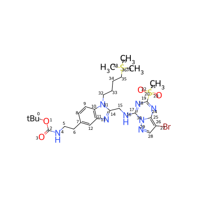 CC(C)(C)OC(=O)NCCc1ccc2c(c1)nc(CNc1nc(S(C)(=O)=O)nc3c(Br)cnn13)n2CCCCS(C)(C)C